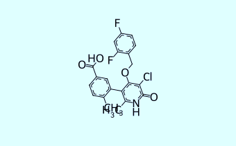 Cc1ccc(C(=O)O)cc1-c1c(C)[nH]c(=O)c(Cl)c1OCc1ccc(F)cc1F